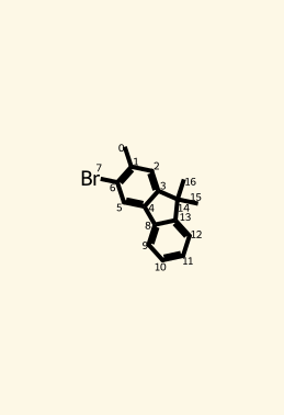 Cc1cc2c(cc1Br)-c1ccccc1C2(C)C